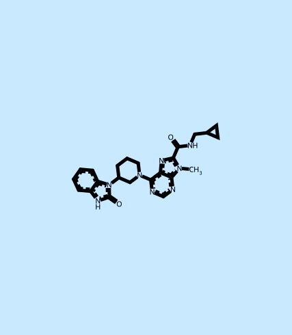 Cn1c(C(=O)NCC2CC2)nc2c(N3CCCC(n4c(=O)[nH]c5ccccc54)C3)ncnc21